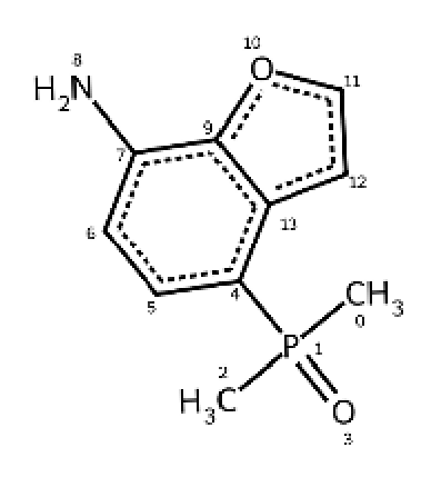 CP(C)(=O)c1ccc(N)c2occc12